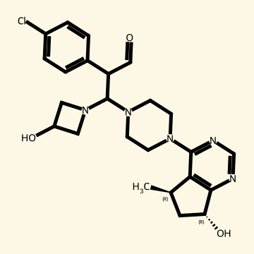 C[C@@H]1C[C@@H](O)c2ncnc(N3CCN(C(C(C=O)c4ccc(Cl)cc4)N4CC(O)C4)CC3)c21